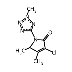 CC1=C(Cl)C(=O)N(c2nnn(C)n2)C1C